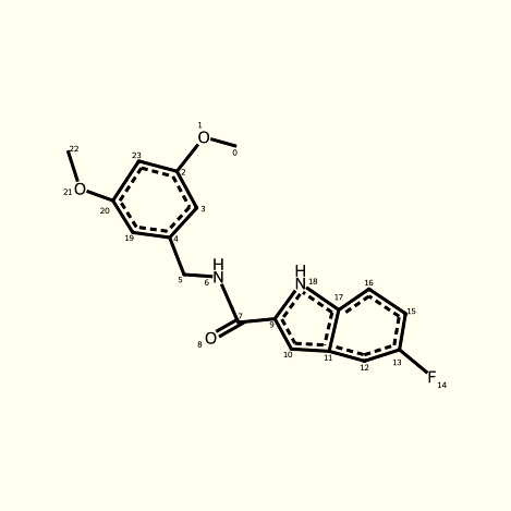 COc1cc(CNC(=O)c2cc3cc(F)ccc3[nH]2)cc(OC)c1